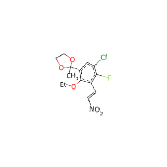 CCOc1c(C2(C)OCCO2)cc(Cl)c(F)c1C=C[N+](=O)[O-]